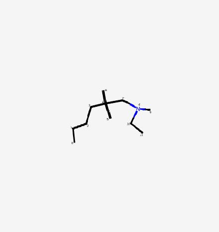 CCCCC(C)(C)CN(C)CC